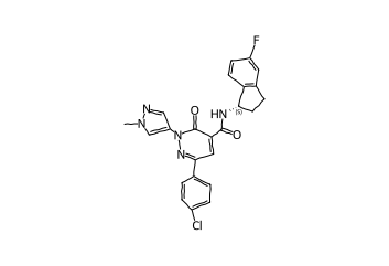 Cn1cc(-n2nc(-c3ccc(Cl)cc3)cc(C(=O)N[C@H]3CCc4cc(F)ccc43)c2=O)cn1